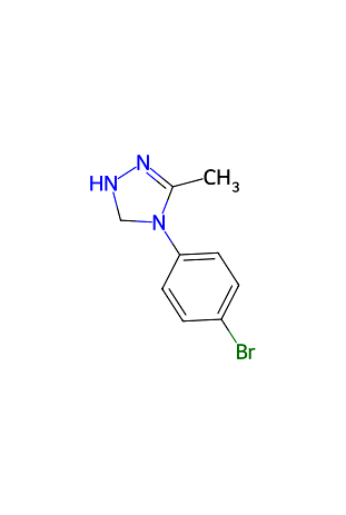 CC1=NNCN1c1ccc(Br)cc1